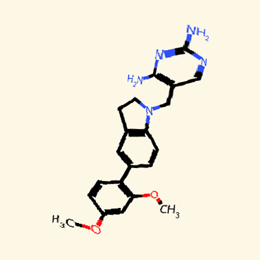 COc1ccc(-c2ccc3c(c2)CCN3Cc2cnc(N)nc2N)c(OC)c1